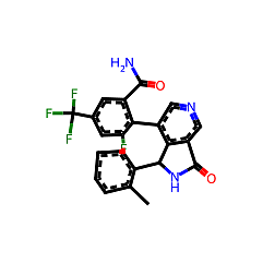 Cc1ccccc1C1NC(=O)c2cncc(-c3c(F)cc(C(F)(F)F)cc3C(N)=O)c21